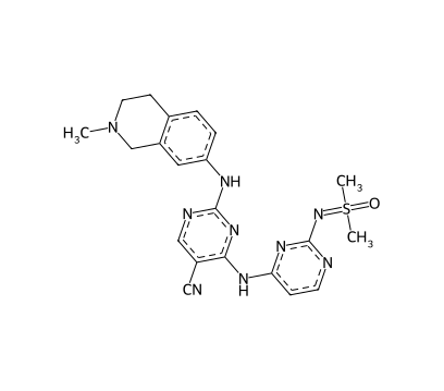 CN1CCc2ccc(Nc3ncc(C#N)c(Nc4ccnc(N=S(C)(C)=O)n4)n3)cc2C1